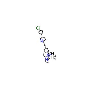 C[N+]1(C)c2ccc(C#Cc3ccc(-c4ccc(Cl)cc4)cn3)cc2CCC1N1CCCC1